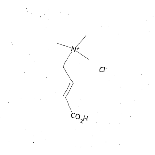 C[N+](C)(C)CC=CC(=O)O.[Cl-]